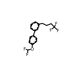 FC(F)Oc1ccc(-c2[c]c(CCCC(F)(F)F)ccc2)cc1